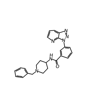 O=C(NC1CCN(Cc2ccccc2)CC1)c1cccc(-n2nnc3cccnc32)c1